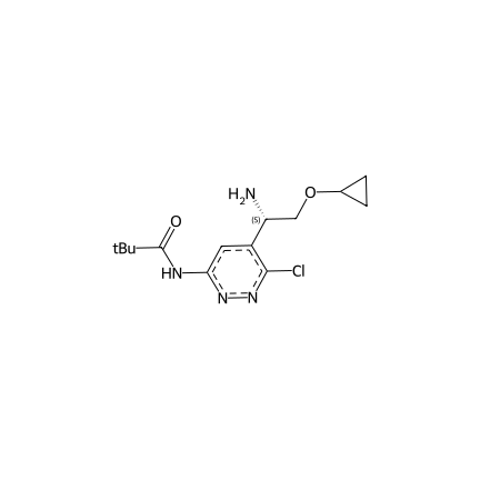 CC(C)(C)C(=O)Nc1cc([C@H](N)COC2CC2)c(Cl)nn1